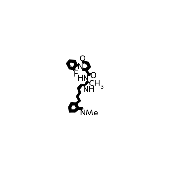 CNCc1ccccc1CCC/C=C\C(=N)[C@@H](C)NC(=O)c1ccc(=O)n(-c2ccccc2F)c1